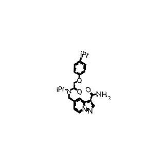 CC(C)c1ccc(OCC(=O)N(Cc2ccn3ncc(C(N)=O)c3c2)C(C)C)cc1